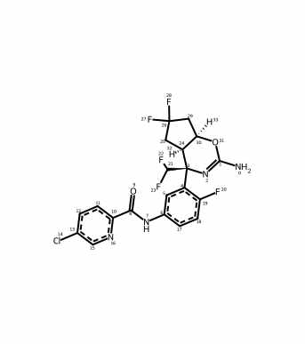 NC1=N[C@@](c2cc(NC(=O)c3ccc(Cl)cn3)ccc2F)(C(F)F)[C@H]2CC(F)(F)C[C@H]2O1